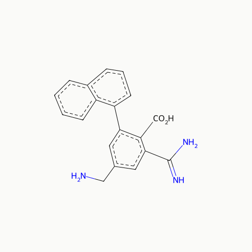 N=C(N)c1cc(CN)cc(-c2cccc3ccccc23)c1C(=O)O